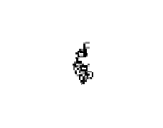 CCOC(=O)c1cc(C)c2cc(Cc3ccc(F)cc3)cnc2c1OC